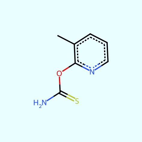 Cc1cccnc1OC(N)=S